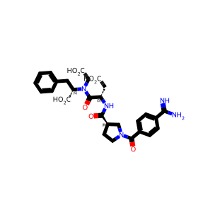 N=C(N)c1ccc(C(=O)N2CC[C@@H](C(=O)N[C@@H](CC(=O)O)C(=O)N(CC(=O)O)[C@@H](Cc3ccccc3)C(=O)O)C2)cc1